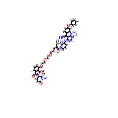 C=C(CCCOCCOCCOc1cccc2c1C(=O)N(C1CCC(=O)NC1=O)C2=O)C(=O)N1CCCC(Nc2ncnc(N)c2C(=N)c2ccc(Oc3ccccc3)cc2)C1